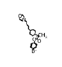 CN(C(=O)Oc1ccc(Br)cc1)C1CCC(CCCCN2CCOCC2)CC1